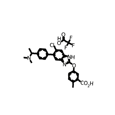 Cc1ccc(Oc2nc3cc(-c4ccc(C(C)N(C)C)cc4)c(Cl)cc3[nH]2)cc1C(=O)O.O=C(O)C(F)(F)F